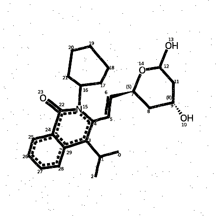 CC(C)c1c(C=C[C@@H]2C[C@@H](O)CC(O)O2)n(C2CCCCC2)c(=O)c2ccccc12